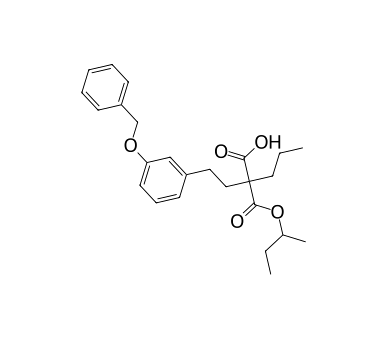 CCCC(CCc1cccc(OCc2ccccc2)c1)(C(=O)O)C(=O)OC(C)CC